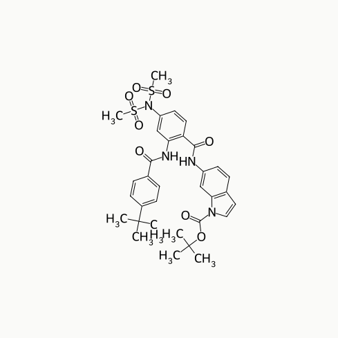 CC(C)(C)OC(=O)n1ccc2ccc(NC(=O)c3ccc(N(S(C)(=O)=O)S(C)(=O)=O)cc3NC(=O)c3ccc(C(C)(C)C)cc3)cc21